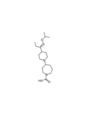 CC/C(=N\OC(C)C)C1CCN(C2CCCN(C(=O)O)CC2)CC1